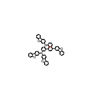 c1ccc(N(c2ccc3c(c2)oc2ccccc23)c2ccc(N(c3ccc4c(c3)oc3ccccc34)c3ccc4c(c3)oc3ccccc34)cc2-c2ccc(-c3ccc4oc5ccccc5c4c3)cc2)cc1